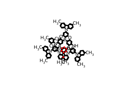 Cc1cc(C)c(N2c3cc4c(cc3B3c5c2cc(-n2c6ccc(C)cc6c6cc(C)ccc62)cc5-n2c5ccc(C)cc5c5cc(C)cc3c52)B2c3cc5c(cc3Oc3cc(-n6c7ccc(C)cc7c7cc(C)ccc76)cc(c32)O4)Nc2cc(-n3c4ccc(C)cc4c4cc(C)ccc43)cc3c2B5c2cc(C)cc4c5cc(C)ccc5n-3c24)c(C)c1